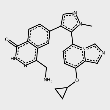 Cn1ncc(-c2ccc3c(=O)[nH]nc(CN)c3c2)c1-c1ccc(OC2CC2)c2cncn12